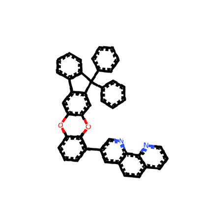 c1ccc(C2(c3ccccc3)c3ccccc3-c3cc4c(cc32)Oc2c(cccc2-c2cnc3c(ccc5cccnc53)c2)O4)cc1